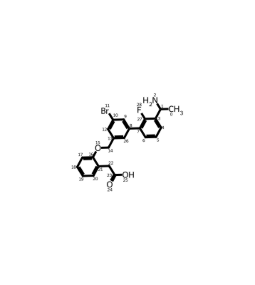 CC(N)c1cccc(-c2cc(Br)cc(COc3ccccc3CC(=O)O)c2)c1F